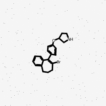 BrC1=C(c2ccc(OC3CCNC3)cc2)c2ccccc2CCC1